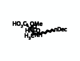 CCCCCCCCCCCCCCCCCC(=O)N[C@@H](C)C(=O)N[C@H](CCC(=O)O)C(=O)OC